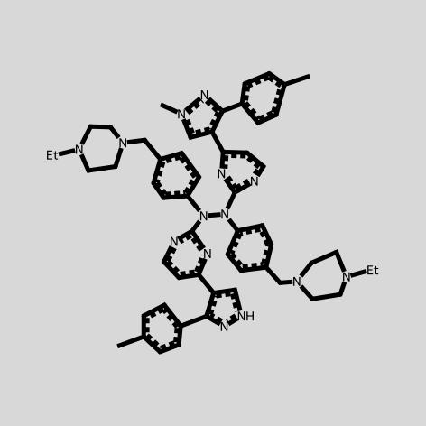 CCN1CCN(Cc2ccc(N(c3nccc(-c4c[nH]nc4-c4ccc(C)cc4)n3)N(c3ccc(CN4CCN(CC)CC4)cc3)c3nccc(-c4cn(C)nc4-c4ccc(C)cc4)n3)cc2)CC1